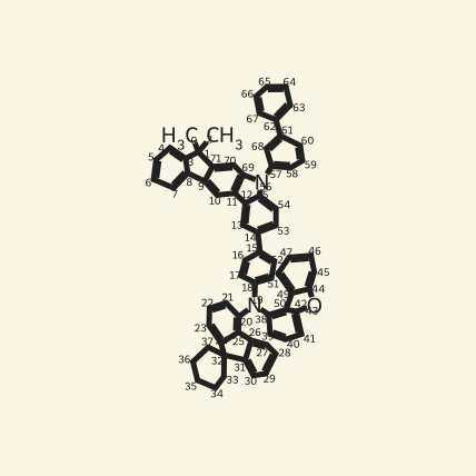 CC1(C)c2ccccc2-c2cc3c4cc(-c5ccc(N(c6cccc7c6-c6ccccc6C76CCCCC6)c6cccc7oc8ccccc8c67)cc5)ccc4n(-c4cccc(-c5ccccc5)c4)c3cc21